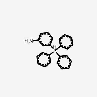 Nc1cccc([PH](c2ccccc2)(c2ccccc2)c2ccccc2)c1